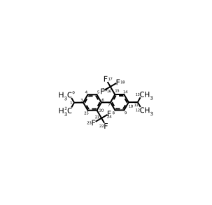 CC(C)c1ccc(-c2ccc(C(C)C)cc2C(F)(F)F)c(C(F)(F)F)c1